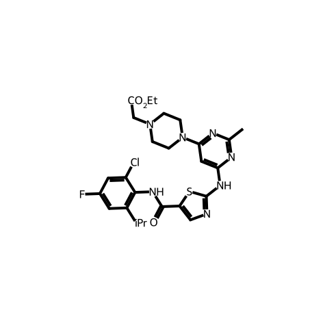 CCOC(=O)CN1CCN(c2cc(Nc3ncc(C(=O)Nc4c(Cl)cc(F)cc4C(C)C)s3)nc(C)n2)CC1